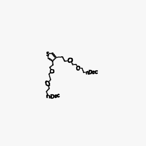 CCCCCCCCCCCCOCCOCCc1cscc1CCOCCOCCCCCCCCCCCC